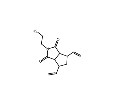 C=CC1CC(C=C)C2C(=O)N(CCS)C(=O)C12